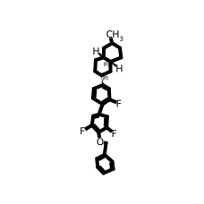 CC1CC[C@@H]2C[C@H](c3ccc(-c4cc(F)c(OCc5ccccc5)c(F)c4)c(F)c3)CC[C@@H]2C1